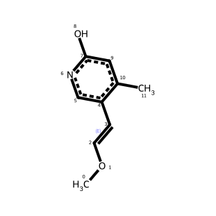 CO/C=C/c1cnc(O)cc1C